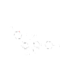 Cc1nn(-c2ccc(Cl)cc2)cc1C(O)(c1c(C=O)c(C)nn1-c1ccc(Cl)cc1)C1CCCCC1